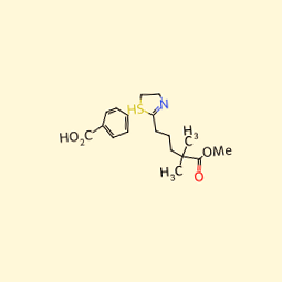 COC(=O)C(C)(C)CCCC1=NCC[SH]1c1ccc(C(=O)O)cc1